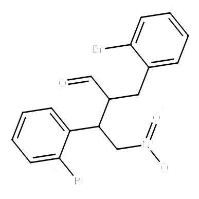 O=CC(Cc1ccccc1Br)C(C[N+](=O)[O-])c1ccccc1Br